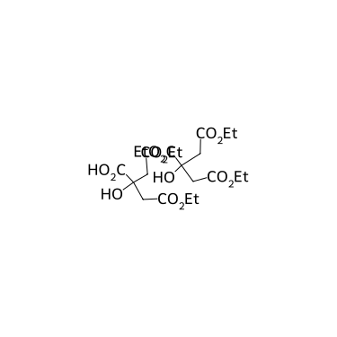 CCOC(=O)CC(O)(CC(=O)OCC)C(=O)O.CCOC(=O)CC(O)(CC(=O)OCC)C(=O)OCC